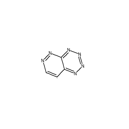 [c]1cnnc2nnnnc12